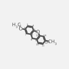 COc1ccc2c(c1)Cc1ccc(C)cc1O2